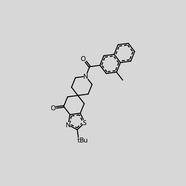 Cc1cc(C(=O)N2CCC3(CC2)CC(=O)c2nc(C(C)(C)C)sc2C3)cc2ccccc12